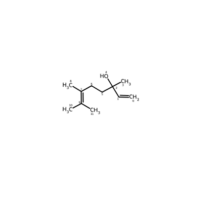 C=CC(C)(O)CCC(C)=C(C)C